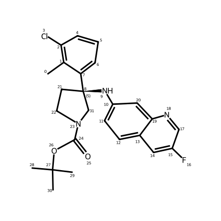 Cc1c(Cl)cccc1[C@@]1(Nc2ccc3cc(F)cnc3c2)CCN(C(=O)OC(C)(C)C)C1